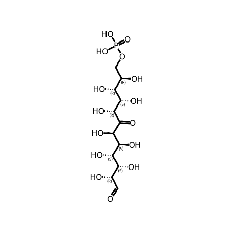 O=C[C@H](O)[C@@H](O)[C@H](O)[C@H](O)C(O)C(=O)[C@H](O)[C@@H](O)[C@H](O)[C@H](O)COP(=O)(O)O